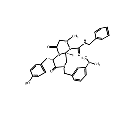 CN(C)c1cccc(CN2C[C@H]3N(C(=O)CN(C)N3C(=O)NCc3ccccc3)[C@@H](Cc3ccc(O)cc3)C2=O)c1